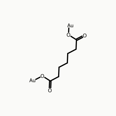 O=C(CCCCCC(=O)[O][Au])[O][Au]